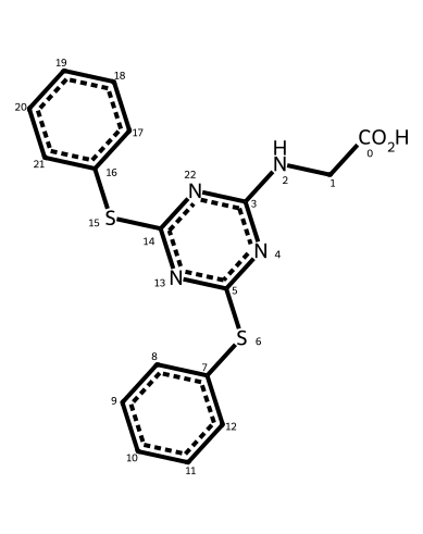 O=C(O)CNc1nc(Sc2ccccc2)nc(Sc2ccccc2)n1